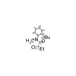 CCC(Cl)C(=O)N(C)c1ccccc1C(C)CC